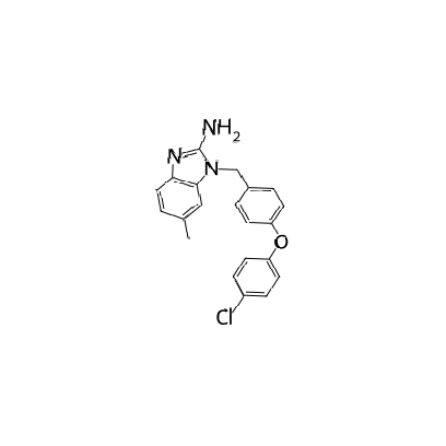 Cc1ccc2nc(N)n(Cc3ccc(Oc4ccc(Cl)cc4)cc3)c2c1